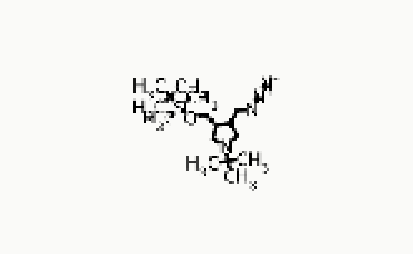 CC(C)(C)N1CC(CN=[N+]=[N-])C(CO[Si](C)(C)C(C)(C)C)C1